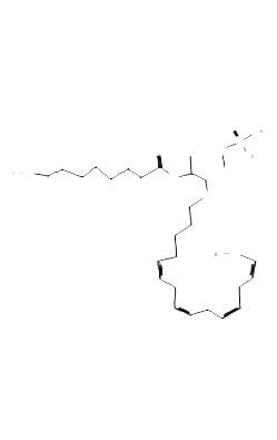 CCCCC/C=C\C/C=C\C/C=C\C/C=C\CCCCO[C@@H](COP(=O)(O)O)C(CCCC)OC(=O)CCCCCCCCCCCCCCCCC